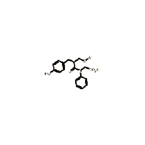 CCOC(=O)CN(C(=O)C(CSC(C)=O)Cc1ccc(O)cc1)c1ccccc1